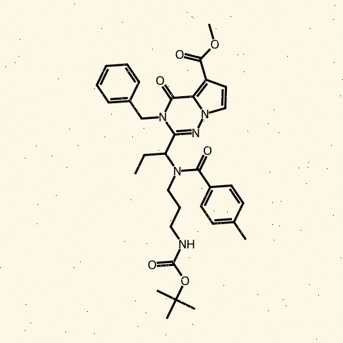 CCC(c1nn2ccc(C(=O)OC)c2c(=O)n1Cc1ccccc1)N(CCCNC(=O)OC(C)(C)C)C(=O)c1ccc(C)cc1